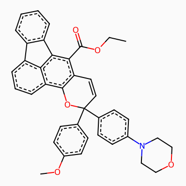 CCOC(=O)c1c2c(c3cccc4c3c1-c1ccccc1-4)OC(c1ccc(OC)cc1)(c1ccc(N3CCOCC3)cc1)C=C2